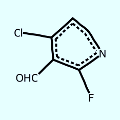 O=Cc1c(Cl)ccnc1F